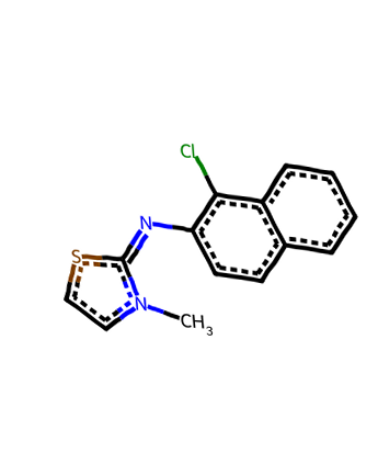 Cn1ccsc1=Nc1ccc2ccccc2c1Cl